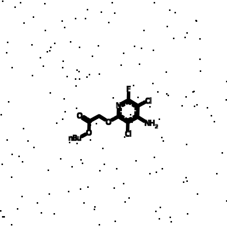 CCCCOC(=O)COc1nc(F)c(Cl)c(N)c1Cl